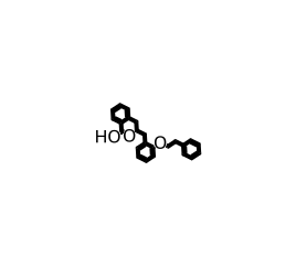 O=C(O)c1ccccc1CCCc1ccccc1OCCc1ccccc1